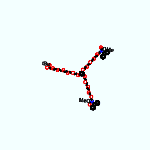 COC(=O)N(CCOCCOCCOCCOCCOc1cc(OCCOCCOCCOCCOCCOCC(=O)OC(C)(C)C)cc(OCCOCCOCCOCCOCCN(C(=O)OC)C2c3ccccc3-c3ccccc32)c1)C1c2ccccc2-c2ccccc21